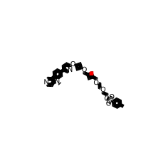 Cc1ccc(S(=O)(=O)OCCOCCOCC23CC(CO[C@H]4C[C@H](Oc5ccc(-c6ccc7c8cnccc8n(C)c7c6)cn5)C4)(C2)C3)cc1